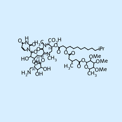 COC1C(C)OC(OC(=O)CC(C)CC(=O)OC(CCCCCCCCC(C)C)CC(=O)O[C@H]2CN(C)[C@@H]([C@H](O[C@@H]3O[C@H](CN)C(O)C3O)[C@H]3O[C@@H](n4ccc(=O)[nH]c4=O)C(O)C3O)C(=O)N(C)[C@@H]2C(=O)O)C(OC)C1OC